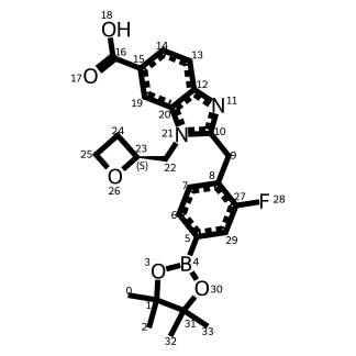 CC1(C)OB(c2ccc(Cc3nc4ccc(C(=O)O)cc4n3C[C@@H]3CCO3)c(F)c2)OC1(C)C